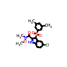 CON(C)C(=O)c1[nH]c2ccc(Cl)cc2c1S(=O)(=O)c1cc(C)cc(C)c1